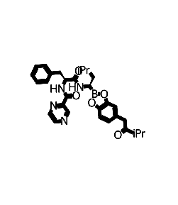 CC(C)C[C@H](NC(=O)[C@H](Cc1ccccc1)NC(=O)c1cnccn1)B1Oc2ccc(CC(=O)C(C)C)cc2O1